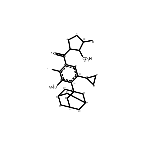 COc1c(F)c(C(=O)C2CCC(C)C2C(=O)O)cc(C2CC2)c1C12CC3CC(CC(C3)C1)C2